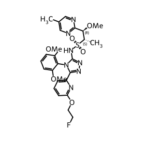 COc1cccc(OC)c1-n1c(NS(=O)(=O)[C@@H](C)[C@H](OC)c2ncc(C)cn2)nnc1-c1cccc(OCCF)n1